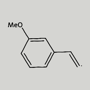 [CH]=Cc1cccc(OC)c1